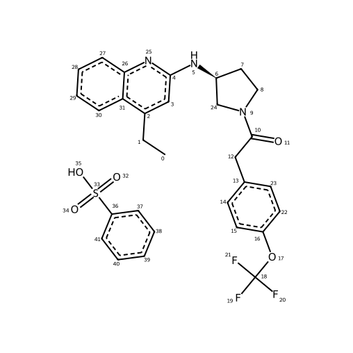 CCc1cc(N[C@H]2CCN(C(=O)Cc3ccc(OC(F)(F)F)cc3)C2)nc2ccccc12.O=S(=O)(O)c1ccccc1